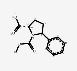 COC(=O)N1C(c2ccccc2)CC[C@H]1C(=O)O